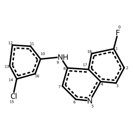 Fc1ccc2nccc(Nc3cccc(Cl)c3)c2c1